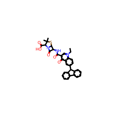 CCn1cc(C(=O)NC2C(=O)N3C2SC(C)(C)C3C(=O)O)c(=O)c2cc(C3c4ccccc4-c4ccccc43)ccc21